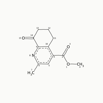 COC(=O)c1cc(C)nc2c1CCCC2=O